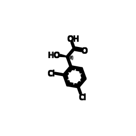 O=C(O)[C@H](O)c1ccc(Cl)cc1Cl